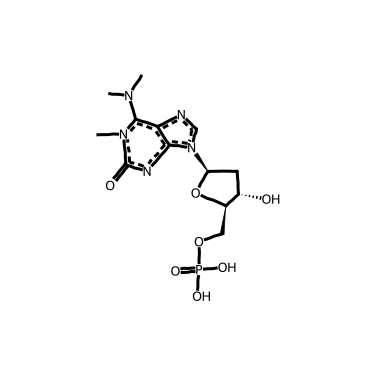 CN(C)c1c2ncn([C@H]3C[C@H](O)[C@@H](COP(=O)(O)O)O3)c2nc(=O)n1C